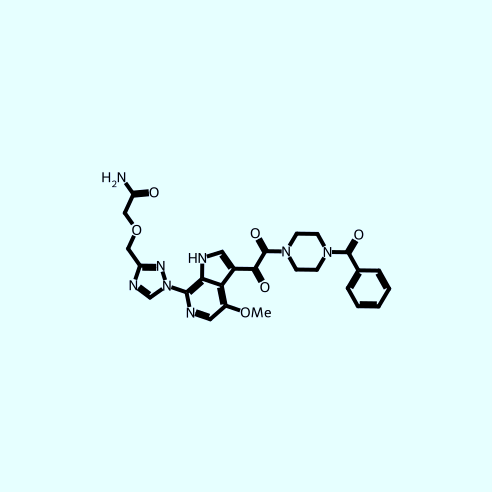 COc1cnc(-n2cnc(COCC(N)=O)n2)c2[nH]cc(C(=O)C(=O)N3CCN(C(=O)c4ccccc4)CC3)c12